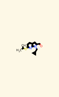 CC(C)Sc1ccc2cc(C=O)n(CC3CC3)c2n1